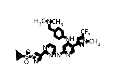 CN(C)CC1CCC(Nc2cc(Nc3ccnc(-c4cnn(S(=O)(=O)C5CC5)c4)n3)ncc2-c2cc(C(F)(F)F)n(C)n2)CC1